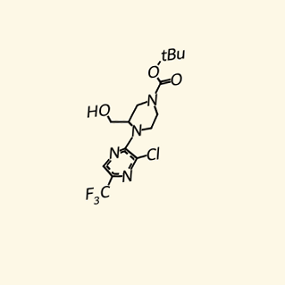 CC(C)(C)OC(=O)N1CCN(c2ncc(C(F)(F)F)nc2Cl)C(CO)C1